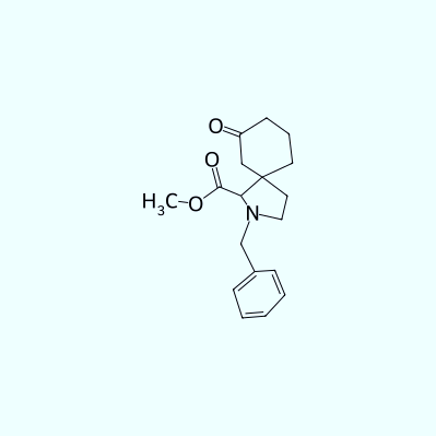 COC(=O)C1N(Cc2ccccc2)CCC12CCCC(=O)C2